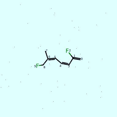 C=C(F)/C=C\C=C(\C)CF